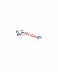 C=C(COCCOCCOCCOCCOCCNC(=O)C(C)C)NCC(C)C